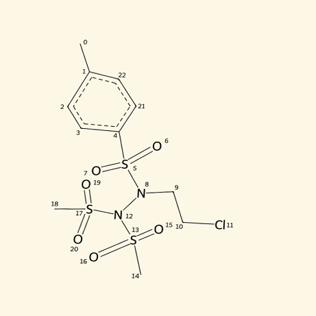 Cc1ccc(S(=O)(=O)N(CCCl)N(S(C)(=O)=O)S(C)(=O)=O)cc1